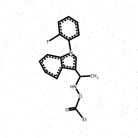 CCC(=O)ONC(C)c1cn(-c2ccccc2F)c2ccccc12